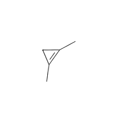 CC1=C(C)C1